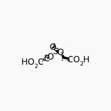 O=C(O)COS(=O)OCC(=O)O